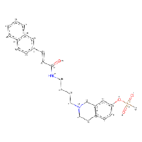 CS(=O)(=O)Oc1ccc2c(c1)CN(CCCCNC(=O)C=Cc1ccc3ccccc3c1)CC2